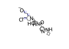 CCO/C=C/C=C1/CN(C[C@@H](O)CNC(=O)c2ccnc(NC3CCC3)c2)CC/C1=C\Cl